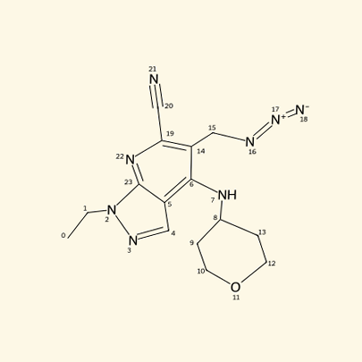 CCn1ncc2c(NC3CCOCC3)c(CN=[N+]=[N-])c(C#N)nc21